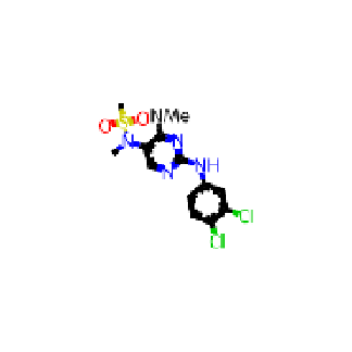 CNc1nc(Nc2ccc(Cl)c(Cl)c2)ncc1N(C)S(C)(=O)=O